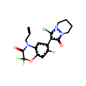 C=CCN1C(=O)C(F)(F)Oc2cc(F)c(-c3c(Cl)n4n(c3=O)CCCC4)cc21